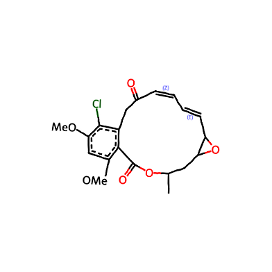 COc1cc(OC)c2c(c1Cl)CC(=O)/C=C\C=C\C1OC1CC(C)OC2=O